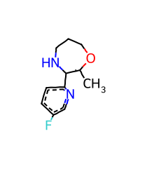 C[C]1OCCCNC1c1ccc(F)cn1